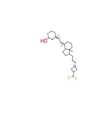 CC12CCC/C(=C\C=C3\CCCC(O)C3)C1CCC2CCCN1CC(C(F)F)C1